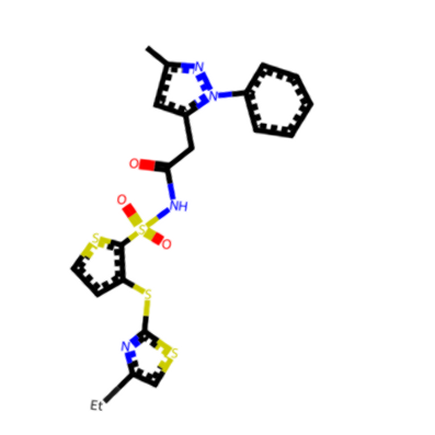 CCc1csc(Sc2ccsc2S(=O)(=O)NC(=O)Cc2cc(C)nn2-c2ccccc2)n1